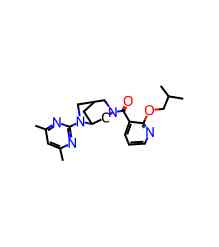 Cc1cc(C)nc(N2CC3CC2CN(C(=O)c2cccnc2OCC(C)C)C3)n1